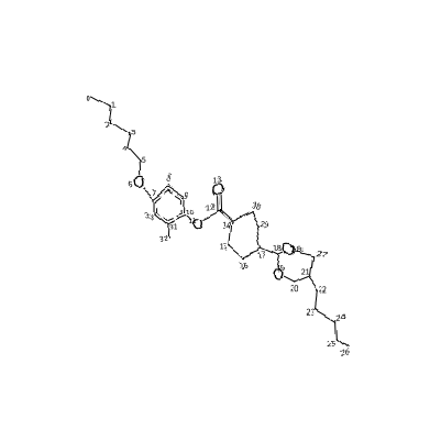 CCCCCCOc1ccc(OC(=O)C2CCC(C3OCC(CCCCC)CO3)CC2)c(C)c1